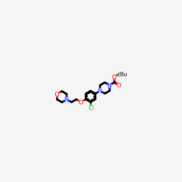 CC(C)(C)OC(=O)N1CCN(c2ccc(OCCN3CCOCC3)c(Cl)c2)CC1